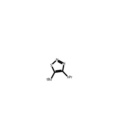 CCCc1nnsc1C(C)(C)C